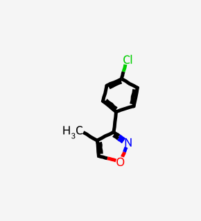 Cc1conc1-c1ccc(Cl)cc1